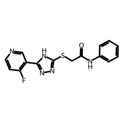 O=C(CSc1nnc(-c2cnccc2F)[nH]1)Nc1ccccc1